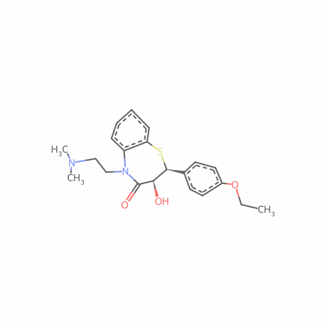 CCOc1ccc([C@@H]2Sc3ccccc3N(CCN(C)C)C(=O)[C@@H]2O)cc1